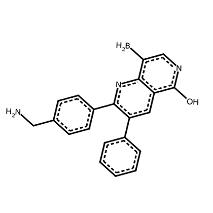 Bc1cnc(O)c2cc(-c3ccccc3)c(-c3ccc(CN)cc3)nc12